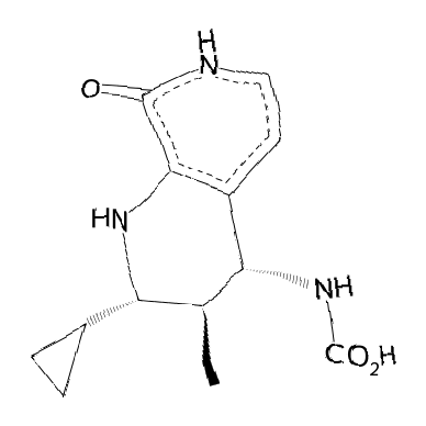 C[C@@H]1[C@@H](NC(=O)O)c2cc[nH]c(=O)c2N[C@H]1C1CC1